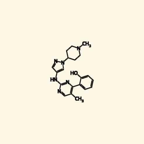 Cc1cnc(Nc2cnn(C3CCN(C)CC3)c2)nc1-c1ccccc1O